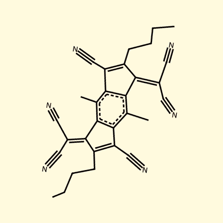 CCCCC1=C(C#N)c2c(C)c3c(c(C)c2C1=C(C#N)C#N)C(C#N)=C(CCCC)C3=C(C#N)C#N